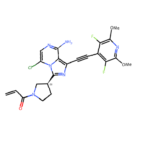 C=CC(=O)N1CC[C@H](c2nc(C#Cc3c(F)c(OC)nc(OC)c3F)c3c(N)ncc(Cl)n23)C1